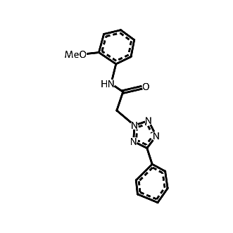 COc1ccccc1NC(=O)Cn1nnc(-c2ccccc2)n1